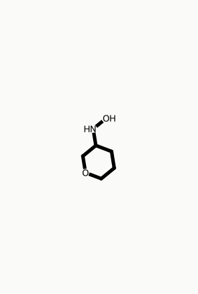 ONC1CCCOC1